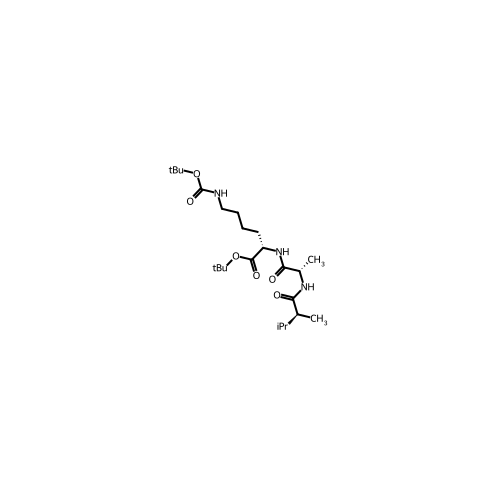 CC(C)[C@H](C)C(=O)N[C@@H](C)C(=O)N[C@@H](CCCCNC(=O)OC(C)(C)C)C(=O)OC(C)(C)C